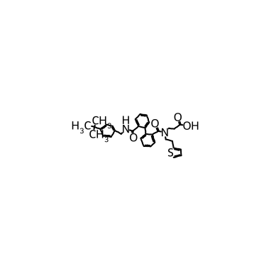 CC(C)(C)c1ccc(CNC(=O)c2ccccc2-c2ccccc2C(=O)N(CCC(=O)O)CCc2cccs2)cc1